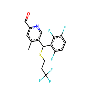 Cc1cc(C=O)ncc1C(SCCC(F)(F)F)c1c(F)ccc(F)c1F